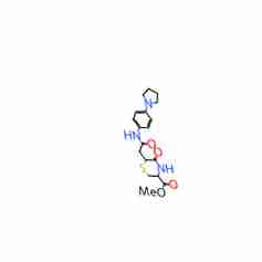 COC(=O)C1CSC(CC(=O)Nc2ccc(N3CCCC3)cc2)C(=O)N1